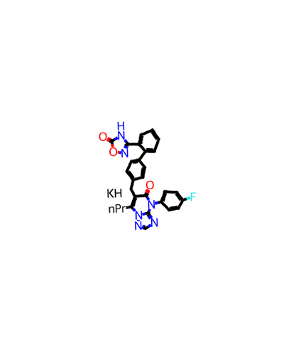 CCCc1c(Cc2ccc(-c3ccccc3-c3noc(=O)[nH]3)cc2)c(=O)n(-c2ccc(F)cc2)c2ncnn12.[KH]